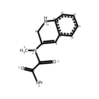 CCCC(=O)C(=O)N(C)C1=Cc2ccccc2NC1